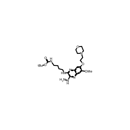 COc1cc2nc(NN)c(NCCCCNC(=O)OC(C)(C)C)nc2cc1OCCN1CCOCC1